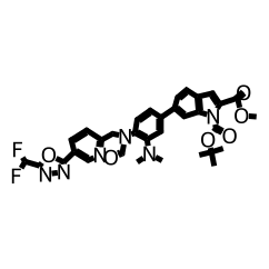 COC(=O)c1cc2ccc(-c3ccc(N(C=O)Cc4ccc(-c5nnc(C(F)F)o5)cn4)c(N(C)C)c3)cc2n1C(=O)OC(C)(C)C